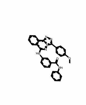 COc1ccc(-c2nnc3c4ccccc4c(Nc4cccc(C(=O)Nc5ccccc5)c4)nn23)cc1